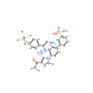 Cc1nc(C(=O)C(C)C)cn1-c1ccc(-c2cccc(S(C)(=O)=O)c2)cc1N(N)/C(=C\N)c1ccc(OC(F)(F)F)cc1